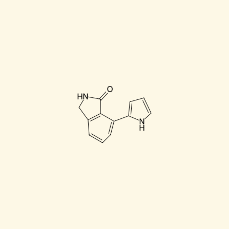 O=C1NCc2cccc(-c3ccc[nH]3)c21